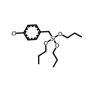 CCCO[Si](Cc1ccc(Cl)cc1)(OCCC)OCCC